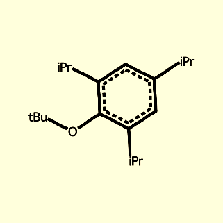 CC(C)c1cc(C(C)C)c(OC(C)(C)C)c(C(C)C)c1